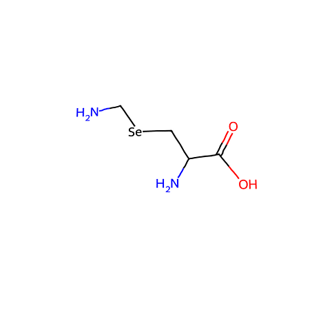 NC[Se]CC(N)C(=O)O